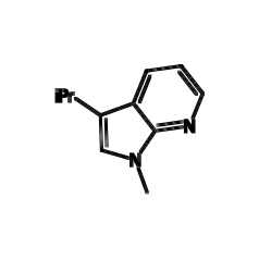 CC(C)c1cn(C)c2ncccc12